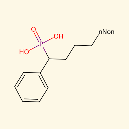 CCCCCCCCCCCCC(c1ccccc1)P(=O)(O)O